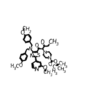 CCC(=O)C(C(=O)c1sc(-c2ccnc(OC)c2)nc1N(Cc1ccc(OC)cc1)Cc1ccc(OC)cc1)N1CCN(C(=O)OC(C)(C)C)CC1